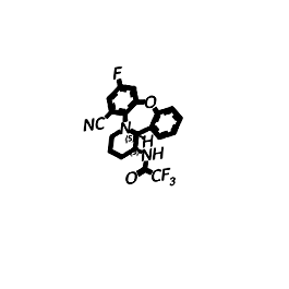 N#Cc1cc(F)cc2c1N1CCC[C@H](NC(=O)C(F)(F)F)[C@@H]1c1ccccc1O2